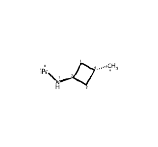 CC(C)N[C@H]1C[C@H](C)C1